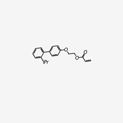 C=CC(=O)OCCOc1ccc(-c2ccccc2C(C)C)cc1